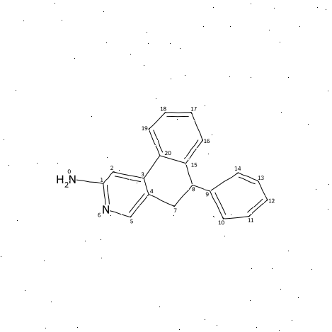 Nc1cc2c(cn1)CC(c1ccccc1)c1ccccc1-2